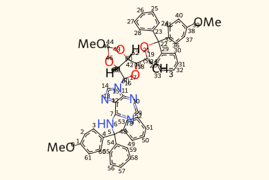 COc1ccc(C(Nc2ncnc3c2ncn3[C@@H]2O[C@H]([C@H](C)OC(c3ccccc3)(c3ccccc3)c3ccc(OC)cc3)[C@H]3OC(OC)O[C@H]32)(c2ccccc2)c2ccccc2)cc1